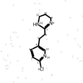 Clc1ccc(CCC2=NCCCN2)cn1